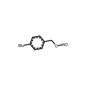 CC(C)(C)c1ccc(CON=O)cc1